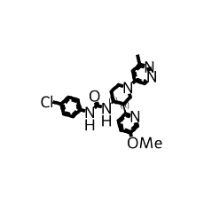 COc1ccc([C@@H]2CN(c3cnnc(C)c3)CC[C@H]2NC(=O)Nc2ccc(Cl)cc2)nc1